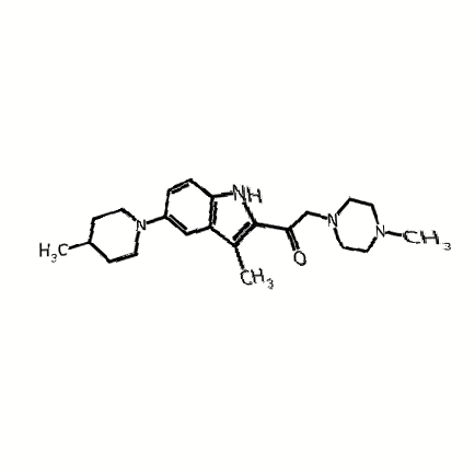 Cc1c(C(=O)CN2CCN(C)CC2)[nH]c2ccc(N3CCC(C)CC3)cc12